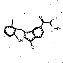 CCOC(O)C(=O)c1ccc2c(Cl)nn(Cc3c(C)cccc3C#N)c2c1